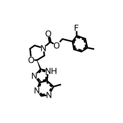 Cc1ccc(COC(=O)N2CCO[C@H](c3nc4ncnc(C)c4[nH]3)C2)c(F)c1